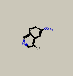 CCc1cncc2ccc(N)cc12